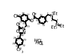 CCN(CC)CCN(CC)Cc1cccc(C(=O)Oc2ccc(Cl)cc2Cn2nc(-c3ccc(C(F)(F)F)cc3)oc2=O)c1.Cl.Cl